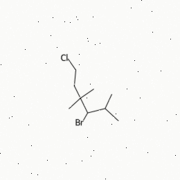 CC(C)C(Br)C(C)(C)CCCl